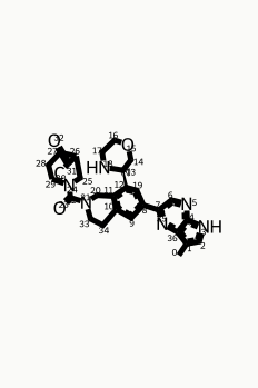 Cc1c[nH]c2ncc(-c3cc4c(c([C@@H]5COCCN5)c3)CN(C(=O)N3CC5CCC3CC5=O)CC4)nc12